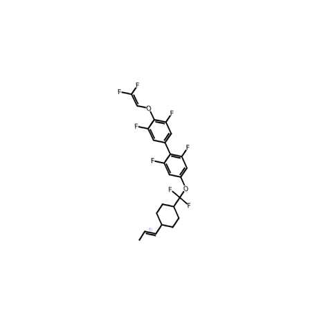 C/C=C/C1CCC(C(F)(F)Oc2cc(F)c(-c3cc(F)c(OC=C(F)F)c(F)c3)c(F)c2)CC1